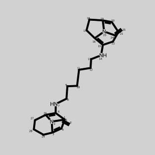 C=CN1C2=CCC(NCCCCCCNC3=C4CCC(=CCC3)N4C=C)=C1CCC2